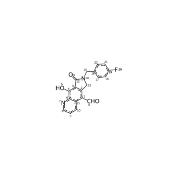 O=Cc1c2c(c(O)c3ncccc13)C(=O)N(Cc1ccc(F)cc1)C2